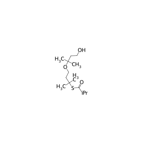 CC(C)C(=O)SC(C)(C)CCOC(C)(C)CCO